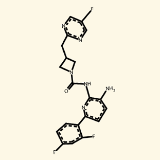 Nc1ccc(-c2ccc(F)cc2F)nc1NC(=O)N1CC(Cc2ncc(F)cn2)C1